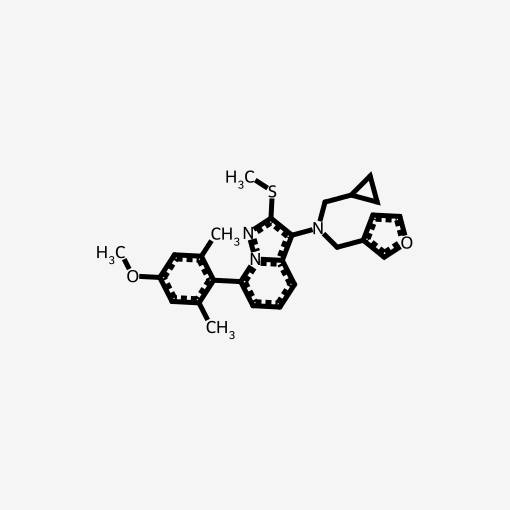 COc1cc(C)c(-c2cccc3c(N(Cc4ccoc4)CC4CC4)c(SC)nn23)c(C)c1